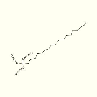 CCCCCCCCCCCCCCCCCCC(N=C=O)(N=C=O)N=C=O